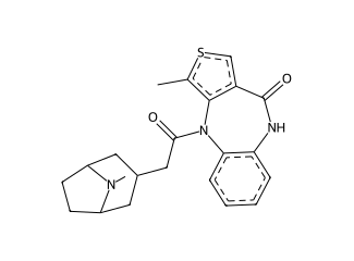 Cc1scc2c1N(C(=O)CC1CC3CCC(C1)N3C)c1ccccc1NC2=O